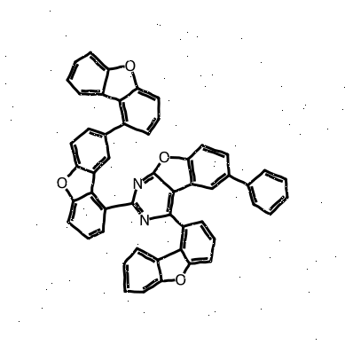 c1ccc(-c2ccc3oc4nc(-c5cccc6oc7ccc(-c8cccc9oc%10ccccc%10c89)cc7c56)nc(-c5cccc6oc7ccccc7c56)c4c3c2)cc1